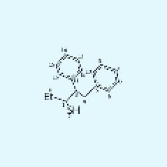 CCC(S)C(Cc1ccccc1)c1ccccc1